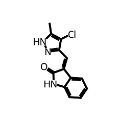 Cc1[nH]nc(C=C2C(=O)Nc3ccccc32)c1Cl